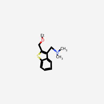 CCOCc1sc2ccccc2c1CN(C)C